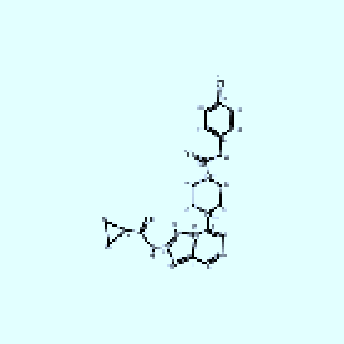 O=C(Nc1nc2cccc(N3CCN(C(=O)Cc4ccc(Cl)cc4)CC3)n2n1)C1CC1